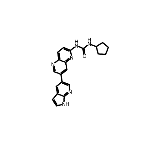 O=C(Nc1ccc2ncc(-c3cnc4[nH]ccc4c3)cc2n1)NC1CCCC1